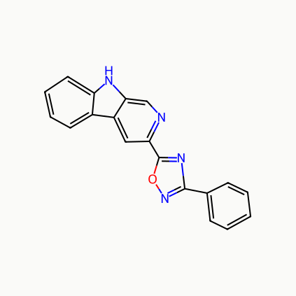 c1ccc(-c2noc(-c3cc4c(cn3)[nH]c3ccccc34)n2)cc1